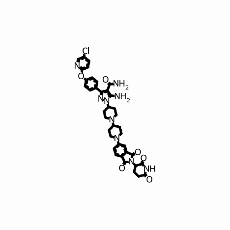 NC(=O)c1c(-c2ccc(Oc3ccc(Cl)cn3)cc2)nn(C2CCN(C3CCN(c4ccc5c(c4)C(=O)N(C4CCC(=O)NC4=O)C5=O)CC3)CC2)c1N